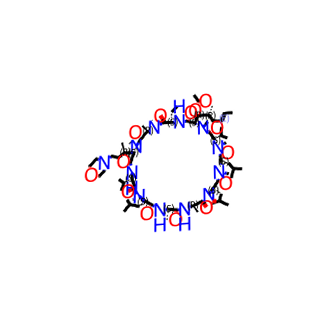 C/C=C/C[C@@H](C)[C@@H](OC(C)=O)[C@H]1C(=O)N[C@@H](CC)C(=O)N(C)[C@H](C)C(=O)N(C)[C@@H]([C@H](C)CCN2CCOCC2)C(=O)N[C@@H](C(C)C)C(=O)N(C)[C@@H](CC(C)C)C(=O)N[C@@H](C)C(=O)N[C@H](C)C(=O)N(C)[C@@H](CC(C)C)C(=O)N(C)[C@@H](CC(C)C)C(=O)N(C)[C@@H](C(C)C)C(=O)N1C